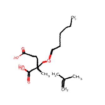 C=C(C)C.CCCCCOC(C)(CC(=O)O)C(=O)O